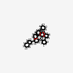 c1ccc(N(c2ccc(-c3ccc4ccccc4c3)cc2)c2ccccc2-c2ccccc2)c(-c2cccc(-n3c4ccccc4c4ccccc43)c2)c#1